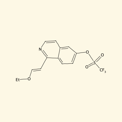 CCO/C=C/c1nccc2cc(OS(=O)(=O)C(F)(F)F)ccc12